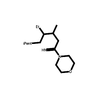 CCCC(C)CC(CC)C(C)CC(=N)N1CCOCC1